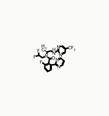 C[C@@H](CNc1ncc(C(F)(F)F)cn1)N(CC(F)F)C(=O)c1c(F)cccc1-c1ncccn1